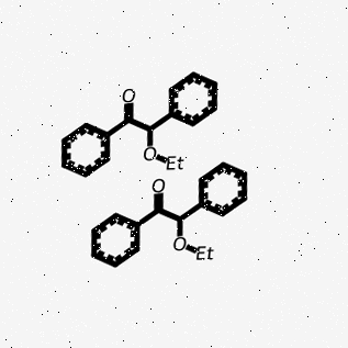 CCOC(C(=O)c1ccccc1)c1ccccc1.CCOC(C(=O)c1ccccc1)c1ccccc1